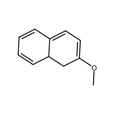 COC1=CC=C2C=CC=CC2C1